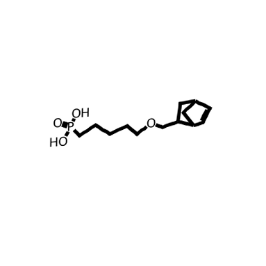 O=P(O)(O)CCCCCOCC1CC2C=CC1C2